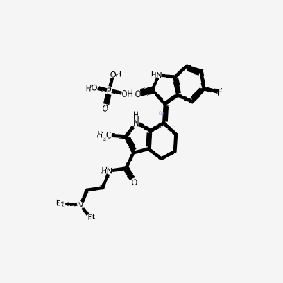 CCN(CC)CCNC(=O)c1c(C)[nH]c2c1CCC/C2=C1/C(=O)Nc2ccc(F)cc21.O=P(O)(O)O